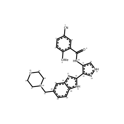 COc1ccc(C#N)cc1C(=O)Nc1c[nH]nc1-c1nc2cc(CN3CCOCC3)ccc2[nH]1